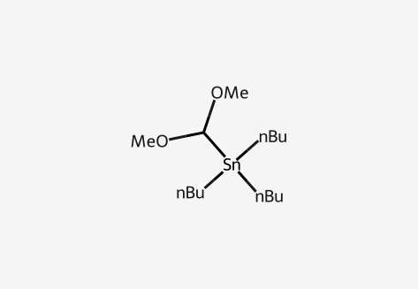 CCC[CH2][Sn]([CH2]CCC)([CH2]CCC)[CH](OC)OC